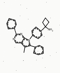 Cc1c(-c2ccccc2)n(-c2ccc(C3(N)CCC3)cc2)c2nc(-c3ccccc3)ncc12